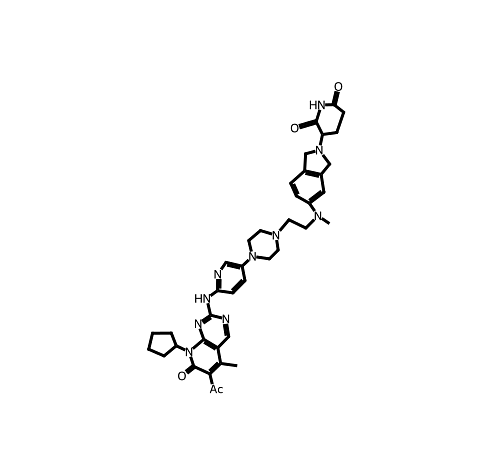 CC(=O)c1c(C)c2cnc(Nc3ccc(N4CCN(CCN(C)c5ccc6c(c5)CN(C5CCC(=O)NC5=O)C6)CC4)cn3)nc2n(C2CCCC2)c1=O